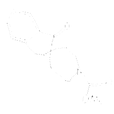 COC(=O)N1CCC2(CC1)Cc1ccccc1C2=O